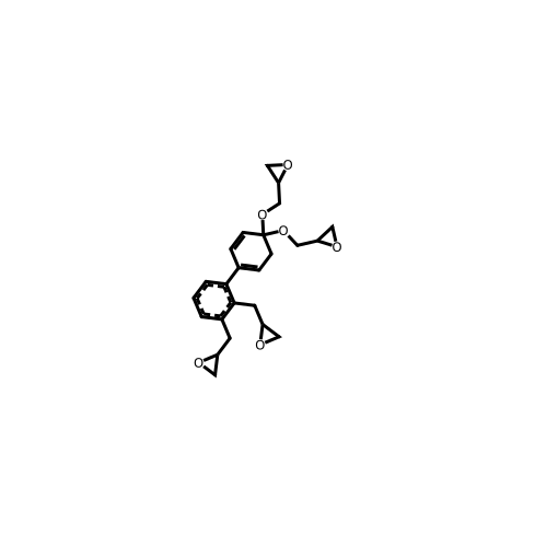 C1=CC(OCC2CO2)(OCC2CO2)CC=C1c1cccc(CC2CO2)c1CC1CO1